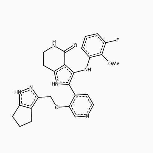 COc1c(F)cccc1Nc1c(-c2ccncc2OCc2n[nH]c3c2CCC3)[nH]c2c1C(=O)NCC2